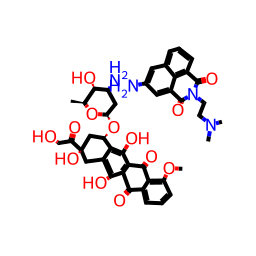 CN(C)CCN1C(=O)c2cccc3cc(N)cc(c23)C1=O.COc1cccc2c1C(=O)c1c(O)c3c(c(O)c1C2=O)C[C@@](O)(C(=O)CO)C[C@@H]3O[C@H]1C[C@H](N)[C@@H](O)[C@H](C)O1